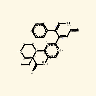 C=C/C=C(\C(=C/N)c1ccccc1)c1ncc2c(n1)N1CCOC[C@@]1(CC)C(=O)N2